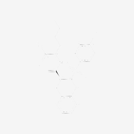 CCCCC(NC(=O)[C@@H]1Cc2ccccc2CN1S(=O)(=O)c1ccc(Cl)cc1)C(=O)O